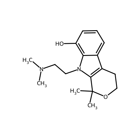 CN(C)CCn1c2c(c3cccc(O)c31)CCOC2(C)C